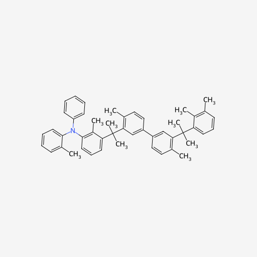 Cc1ccccc1N(c1ccccc1)c1cccc(C(C)(C)c2cc(-c3ccc(C)c(C(C)(C)c4cccc(C)c4C)c3)ccc2C)c1C